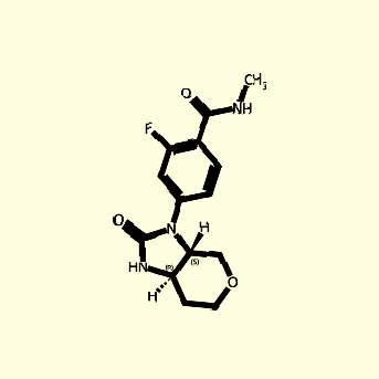 CNC(=O)c1ccc(N2C(=O)N[C@@H]3CCOC[C@H]32)cc1F